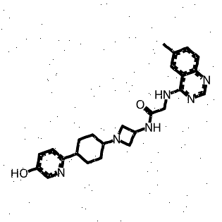 Cc1ccc2ncnc(NCC(=O)NC3CN(C4CCC(c5ccc(O)cn5)CC4)C3)c2c1